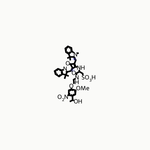 COc1cc(C(C)O)c([N+](=O)[O-])cc1OCCNC(=O)C(CS(=O)(=O)O)NC1=C(/C=C2/N(C)c3ccccc3C2(C)C)C(=O)/C1=C\C1=Nc2ccccc2C1(C)C